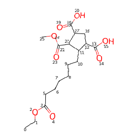 CCOC(=O)CCCCCCC1C(C(=O)O)CC(C(=O)O)C1C(=O)OC